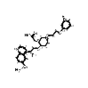 COc1ccc2nccc([C@@H](F)CC[C@@H]3CCN(CCCSc4cccc(F)c4)C[C@@H]3CC(=O)O)c2c1